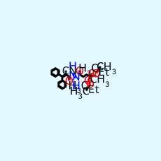 CCC(C)(C)OOC(C)(CCC(=O)NNC(=O)C(C#N)=C(c1ccccc1)c1ccccc1)OOC(C)(C)CC